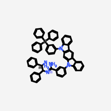 N/C(=N\C(c1ccccc1)[C@H](N)c1ccccc1)c1cccc(-n2c3ccccc3c3cc4c5ccccc5n(-c5cccc([Si](c6ccccc6)(c6ccccc6)c6ccccc6)c5)c4cc32)c1